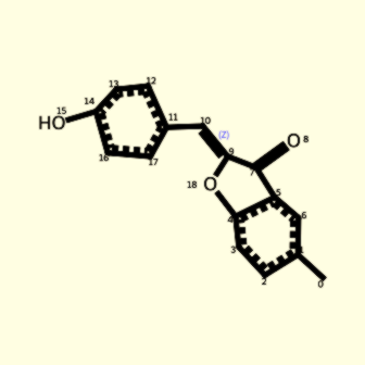 Cc1ccc2c(c1)C(=O)/C(=C/c1ccc(O)cc1)O2